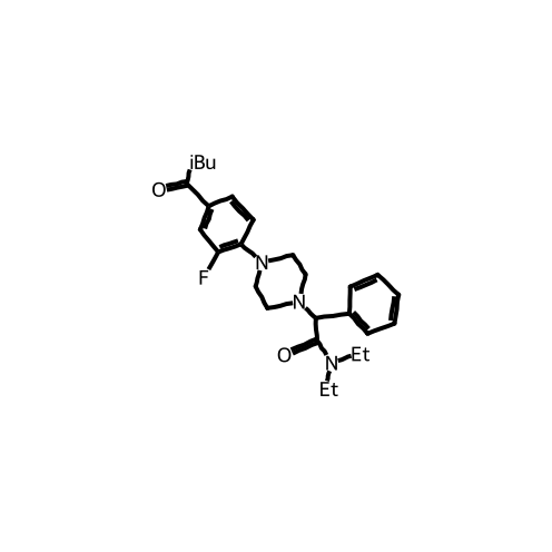 CCC(C)C(=O)c1ccc(N2CCN(C(C(=O)N(CC)CC)c3ccccc3)CC2)c(F)c1